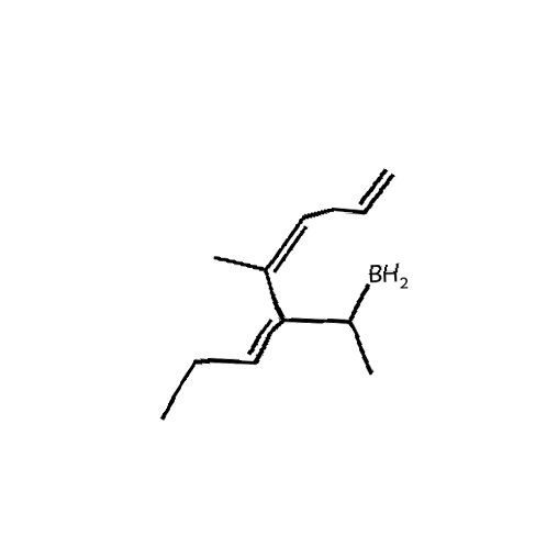 BC(C)C(=C/CC)/C(C)=C\C=C